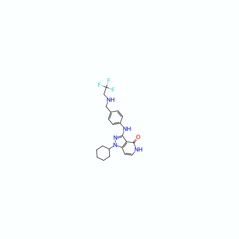 O=c1[nH]ccc2c1c(Nc1ccc(CNCC(F)(F)F)cc1)nn2C1CCCCC1